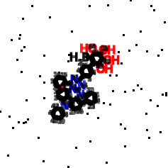 BC1=C(C2=CC=C(c3nc(-c4ccccc4)nc(-n4c5ccccc5c5ccc6c(c7ccccc7n6C6=CC=CCC6)c54)n3)CC2)C(O)C(O)C(O)=C1O